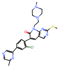 CSc1ncc2cc(-c3ccc(-c4cncc(C)n4)cc3Cl)c(=O)n(CCN3CCN(C)CC3)c2n1